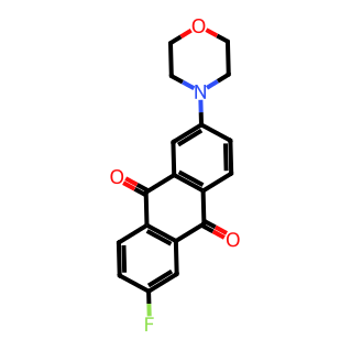 O=C1c2ccc(N3CCOCC3)cc2C(=O)c2ccc(F)cc21